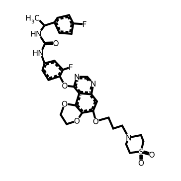 CC(NC(=O)Nc1ccc(Oc2ncnc3cc(OCCCN4CCS(=O)(=O)CC4)c4c(c23)OCCO4)c(F)c1)c1ccc(F)cc1